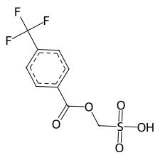 O=C(OCS(=O)(=O)O)c1ccc(C(F)(F)F)cc1